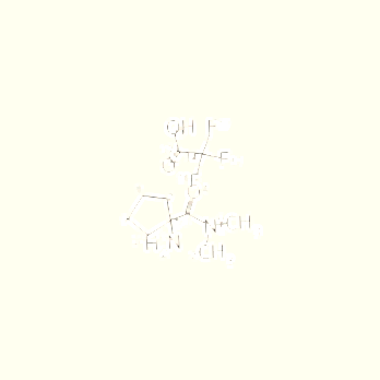 CN(C)C(=O)C1(N)CCCC1.O=C(O)C(F)(F)F